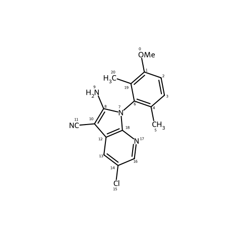 COc1ccc(C)c(-n2c(N)c(C#N)c3cc(Cl)cnc32)c1C